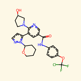 O=C(Nc1ccc(OC(F)(F)Cl)cc1)c1cnc(N2CC[C@@H](O)C2)c(-c2ccnn2C2CCCCO2)c1